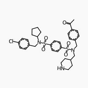 CC(=O)c1ccc(CN(CC2CCNCC2)S(=O)(=O)c2ccc(S(=O)(=O)N(Cc3ccc(Cl)cc3)C3CCCC3)cc2)cc1